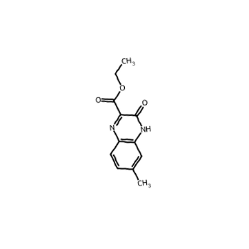 CCOC(=O)c1nc2ccc(C)cc2[nH]c1=O